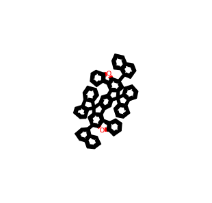 c1ccc2c(c1)-c1ccccc1C21c2cc3c(cc2-c2c1cc(-c1cccc4ccccc14)c1oc4ccccc4c21)C1(c2ccccc2-c2ccccc21)c1cc(-c2cccc4ccccc24)c2oc4ccccc4c2c1-3